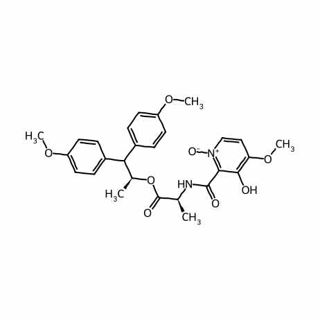 COc1ccc(C(c2ccc(OC)cc2)[C@H](C)OC(=O)[C@H](C)NC(=O)c2c(O)c(OC)cc[n+]2[O-])cc1